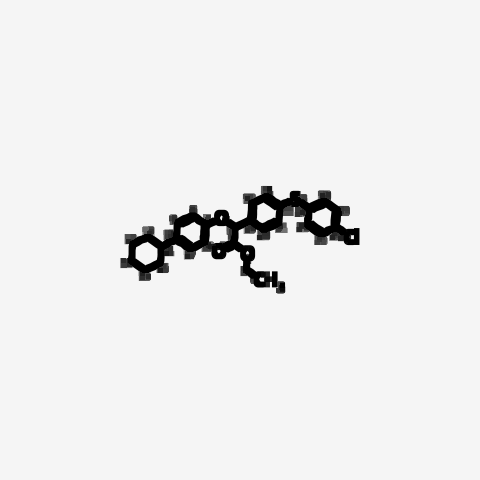 CCOC(=O)C(Oc1ccc(C2CCCCC2)cc1)c1ccc(Sc2ccc(Cl)cc2)cc1